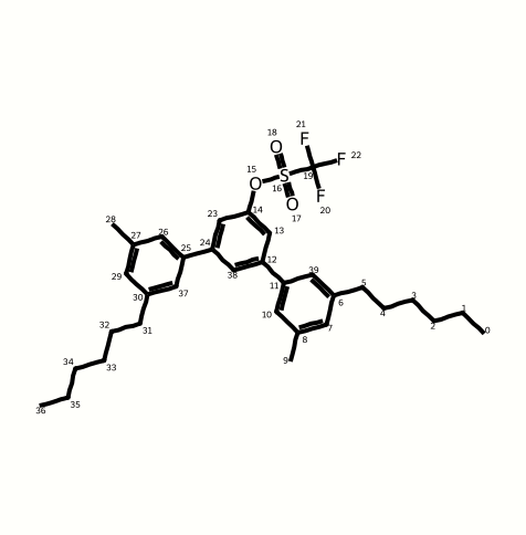 CCCCCCc1cc(C)cc(-c2cc(OS(=O)(=O)C(F)(F)F)cc(-c3cc(C)cc(CCCCCC)c3)c2)c1